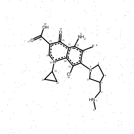 CNCC1CCN(c2c(F)c(N)c3c(=O)c(C(=O)O)cn(C4CC4)c3c2Cl)C1